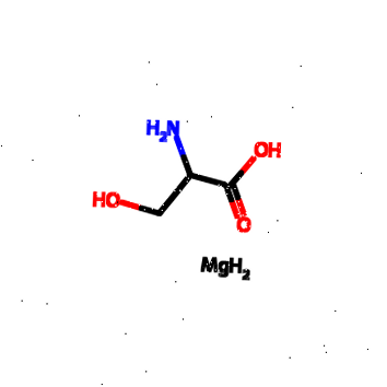 NC(CO)C(=O)O.[MgH2]